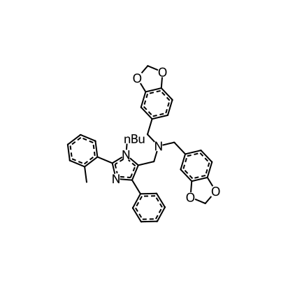 CCCCn1c(-c2ccccc2C)nc(-c2ccccc2)c1CN(Cc1ccc2c(c1)OCO2)Cc1ccc2c(c1)OCO2